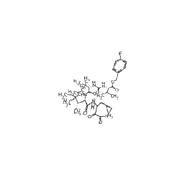 CCN(C(=O)[C@@H](NC(=O)N[C@H](C(=O)OCc1ccc(F)cc1)C(C)C)C(C)(C)C)[C@H](C(=O)NC(CC1CC1)C(=O)C(N)=O)[C@H](C)C(C)(C)CC